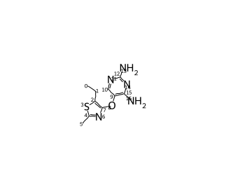 CCc1sc(C)nc1Oc1cnc(N)nc1N